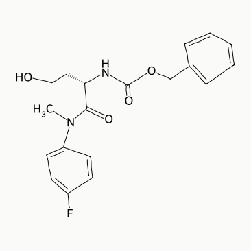 CN(C(=O)[C@H](CCO)NC(=O)OCc1ccccc1)c1ccc(F)cc1